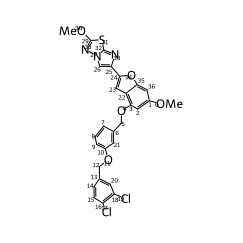 COc1cc(OCc2cccc(OCc3ccc(Cl)c(Cl)c3)c2)c2cc(-c3cn4nc(OC)sc4n3)oc2c1